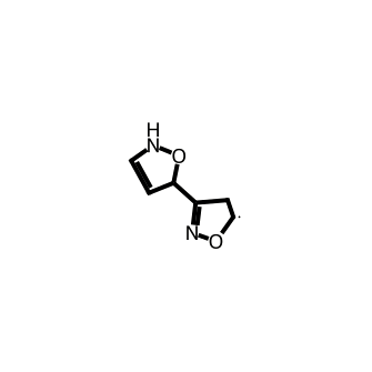 [CH]1CC(C2C=CNO2)=NO1